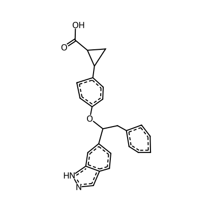 O=C(O)C1CC1c1ccc(OC(Cc2ccccc2)c2ccc3cn[nH]c3c2)cc1